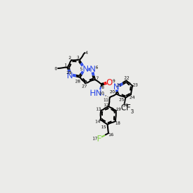 Cc1cc(C)n2nc(C(=O)N[C@@H](c3ccc(CF)cc3)c3ncccc3C(F)(F)F)cc2n1